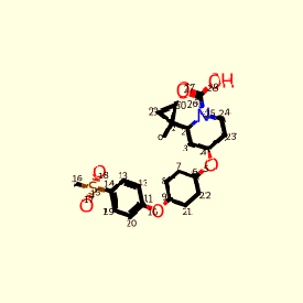 CC1(C2C[C@H](OC3CCC(Oc4ccc(S(C)(=O)=O)cc4)CC3)CCN2C(=O)O)CC1